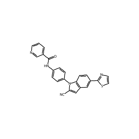 N#Cc1cc2cc(-c3nccs3)ccc2n1-c1ccc(NC(=O)c2cccnc2)cc1